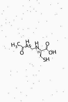 CC(=O)[AsH]CN[C@H](CS)C(=O)O